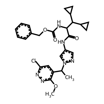 COc1nnc(Cl)cc1C(C)n1cc(NC(=O)C(NC(=O)OCc2ccccc2)C(C2CC2)C2CC2)cn1